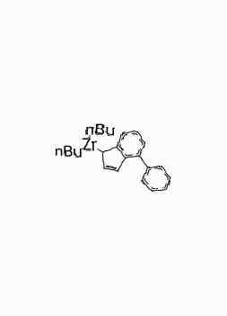 CCC[CH2][Zr]([CH2]CCC)[CH]1C=Cc2c(-c3ccccc3)cccc21